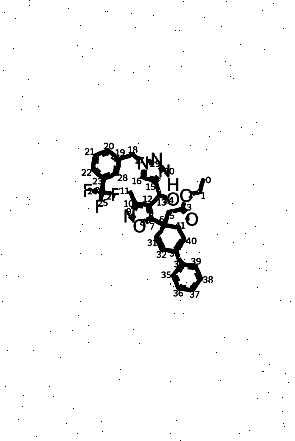 CCOC(=O)CC1(c2onc(C)c2C(O)c2cn(Cc3cccc(C(F)(F)F)c3)nn2)C=CC(c2ccccc2)=CC1